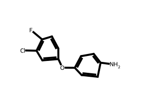 Nc1ccc(Oc2ccc(F)c(Cl)c2)cc1